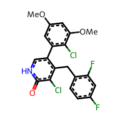 COc1cc(OC)c(Cl)c(-c2c[nH]c(=O)c(Cl)c2Cc2ccc(F)cc2F)c1